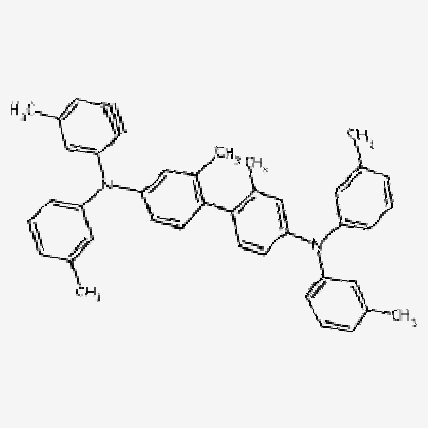 Cc1cc#cc(N(c2cccc(C)c2)c2ccc(-c3ccc(N(c4cccc(C)c4)c4cccc(C)c4)cc3C)c(C)c2)c1